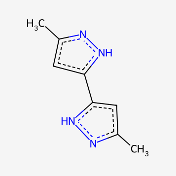 Cc1cc(-c2cc(C)n[nH]2)[nH]n1